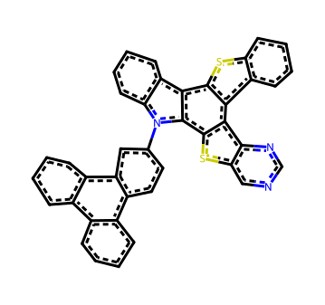 c1ccc2c(c1)sc1c2c2c3ncncc3sc2c2c1c1ccccc1n2-c1ccc2c3ccccc3c3ccccc3c2c1